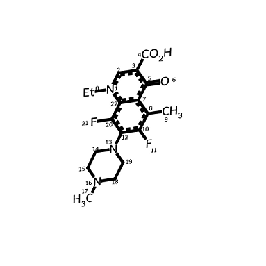 CCn1cc(C(=O)O)c(=O)c2c(C)c(F)c(N3CCN(C)CC3)c(F)c21